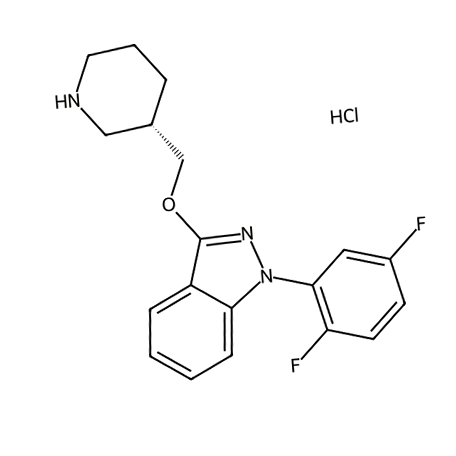 Cl.Fc1ccc(F)c(-n2nc(OC[C@H]3CCCNC3)c3ccccc32)c1